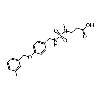 Cc1cccc(COc2ccc(CNS(=O)(=O)N(C)CCC(=O)O)cc2)c1